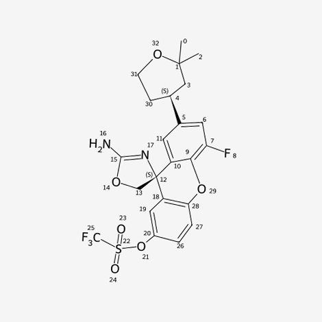 CC1(C)C[C@@H](c2cc(F)c3c(c2)[C@]2(COC(N)=N2)c2cc(OS(=O)(=O)C(F)(F)F)ccc2O3)CCO1